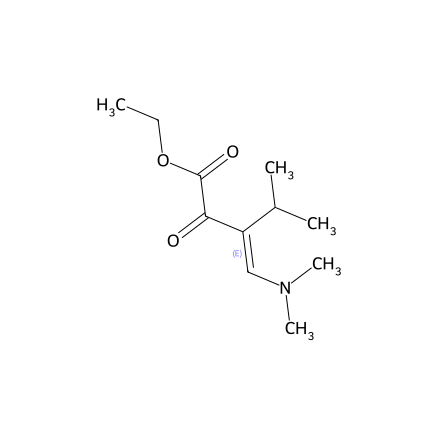 CCOC(=O)C(=O)/C(=C/N(C)C)C(C)C